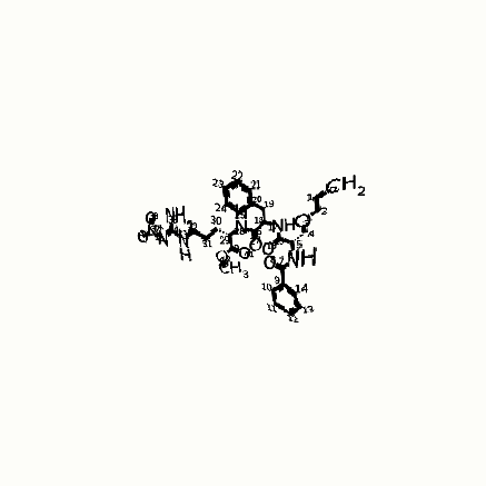 C=CCOC[C@H](NC(=O)c1ccccc1)C(=O)N[C@H](Cc1ccccc1)C(=O)N[C@@H](CCCN/C(N)=N/[N+](=O)[O-])C(=O)OC